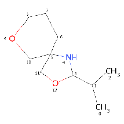 CC(C)C1NC2(CCCOC2)CO1